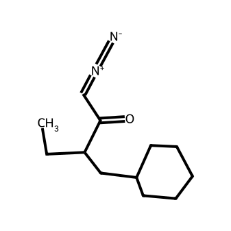 CCC(CC1CCCCC1)C(=O)C=[N+]=[N-]